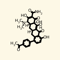 CC(=O)c1ccc(-c2ccc(O)c3c2C[C@H]2C[C@@H]4[C@H](N(C)C)C(O)=C(C(N)=O)C(=O)[C@@]4(O)C(O)=C2C3=O)cc1